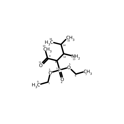 CCOP(=O)(OCC)C(C(C)=O)C(N)C(C)C